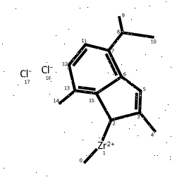 [CH3][Zr+2][CH]1C(C)=Cc2c(C(C)C)ccc(C)c21.[Cl-].[Cl-]